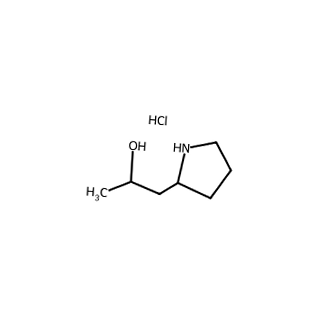 CC(O)CC1CCCN1.Cl